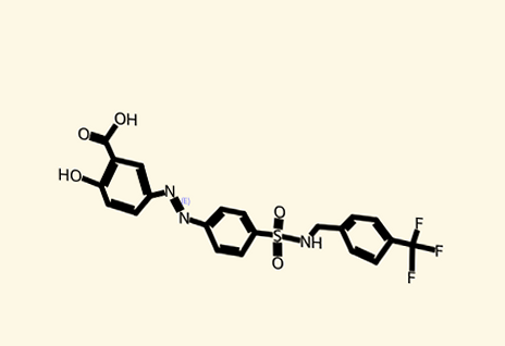 O=C(O)c1cc(/N=N/c2ccc(S(=O)(=O)NCc3ccc(C(F)(F)F)cc3)cc2)ccc1O